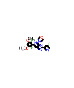 COc1cc(OC)c(F)c(-c2cc3cnc(-c4cncc(F)c4)nc3c(N3CCOCC3)n2)c1F